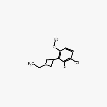 CCOc1[c]cc(Cl)c(F)c1C1CN(CC(F)(F)F)C1